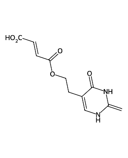 C=C1NC=C(CCOC(=O)/C=C/C(=O)O)C(=O)N1